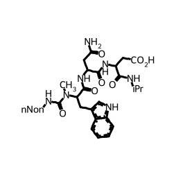 CCCCCCCCCNC(=O)N(C)C(Cc1c[nH]c2ccccc12)C(=O)NC(CC(N)=O)C(=O)NC(CC(=O)O)C(=O)NC(C)C